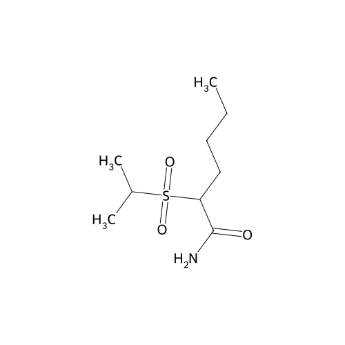 CCCCC(C(N)=O)S(=O)(=O)C(C)C